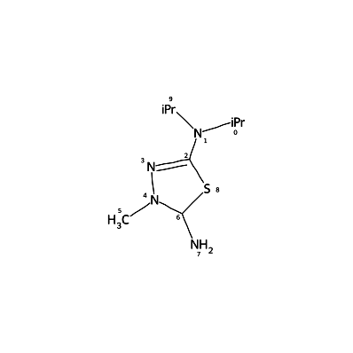 CC(C)N(C1=NN(C)C(N)S1)C(C)C